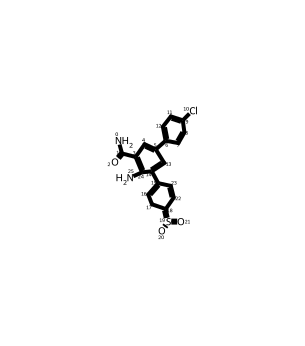 NC(=O)c1cc(-c2ccc(Cl)cc2)cc(C2=CCC(=S(=O)=O)C=C2)c1N